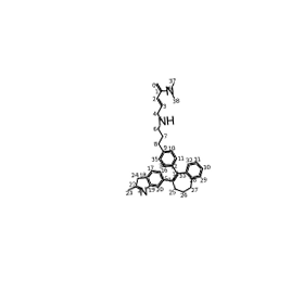 C=C(/C=C/CNCCCc1ccc(C2=C(c3ccc4c(c3)N=C(C)C4)CCCc3ccccc32)cc1)N(C)C